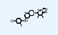 Cc1c(N2CCc3ncc(Nc4ccc(Cl)cc4F)cc3C2)nn2cnnc2c1C